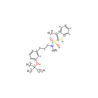 CCCN(CCCc1cccc(OC(C)(C)C(=O)O)c1)S(=O)(=O)c1sc2ccccc2c1C